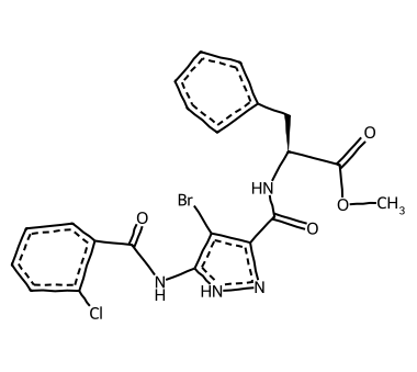 COC(=O)[C@H](Cc1ccccc1)NC(=O)c1n[nH]c(NC(=O)c2ccccc2Cl)c1Br